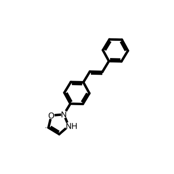 [C]1=CNN(c2ccc(C=Cc3ccccc3)cc2)O1